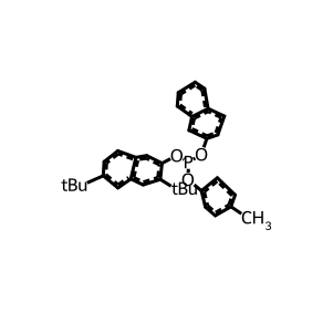 Cc1ccc(OP(Oc2ccc3ccccc3c2)Oc2cc3ccc(C(C)(C)C)cc3cc2C(C)(C)C)cc1